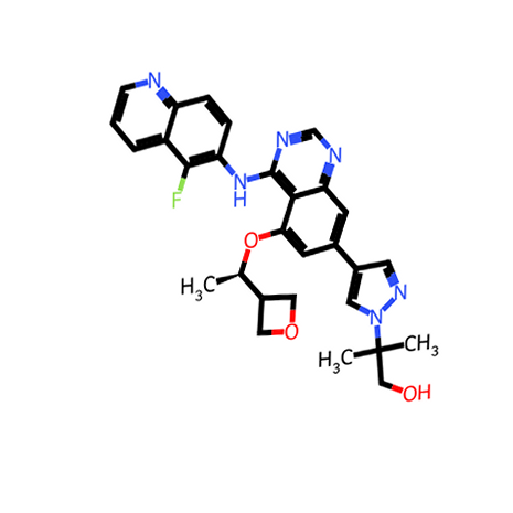 C[C@@H](Oc1cc(-c2cnn(C(C)(C)CO)c2)cc2ncnc(Nc3ccc4ncccc4c3F)c12)C1COC1